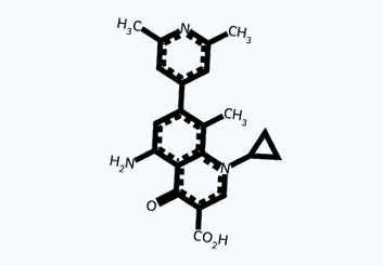 Cc1cc(-c2cc(N)c3c(=O)c(C(=O)O)cn(C4CC4)c3c2C)cc(C)n1